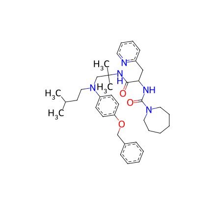 CC(C)CCN(CC(C)(C)NC(=O)C(Cc1ccccn1)NC(=O)N1CCCCCC1)c1ccc(OCc2ccccc2)cc1